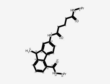 CCCNC(=O)CCCC(=O)Nc1ccc2c(c1)C(C)c1cccc(C(=O)NCCC)c1-2